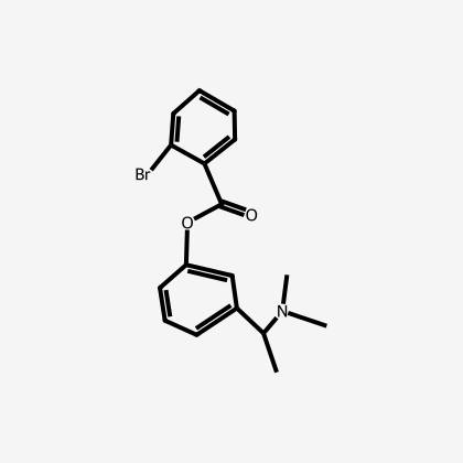 CC(c1cccc(OC(=O)c2ccccc2Br)c1)N(C)C